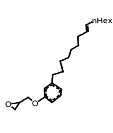 CCCCCC/C=C/CCCCCCCc1cccc(OCC2CO2)c1